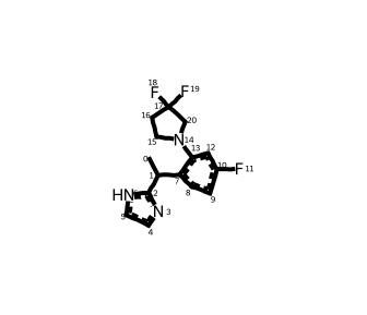 CC(c1ncc[nH]1)c1ccc(F)cc1N1CCC(F)(F)C1